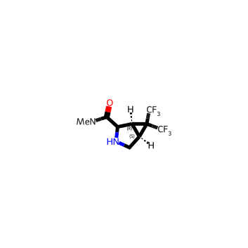 CNC(=O)C1NC[C@H]2[C@@H]1C2(C(F)(F)F)C(F)(F)F